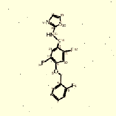 Fc1ccccc1COc1cc(F)c(SNc2nccs2)cc1F